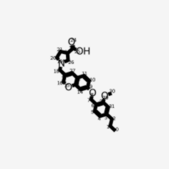 CCCc1ccc(COc2ccc3c(c2)OCC(CN2CCC(C(=O)O)C2)=C3)c(OC)c1